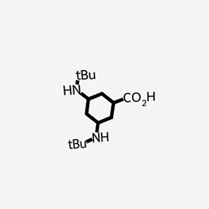 CC(C)(C)NC1CC(NC(C)(C)C)CC(C(=O)O)C1